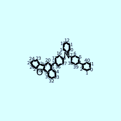 c1ccc(-c2ccc(N(c3ccccc3)c3ccc(-c4cc5c6ccccc6oc5c5ccccc45)cc3)cc2)cc1